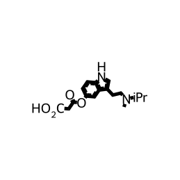 CC(C)N(C)CCc1c[nH]c2ccc(OC(=O)CC(=O)O)cc12